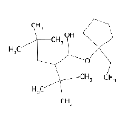 CCC1(OC(O)C(CC(C)(C)C)C(C)(C)C)CCCC1